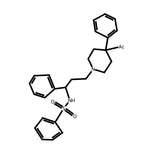 CC(=O)C1(c2ccccc2)CCN(CCC(NS(=O)(=O)c2ccccc2)c2ccccc2)CC1